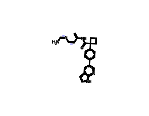 C=C(/C=C\N=C/N)NC(=O)C1(c2ccc(-c3cnc4[nH]ccc4c3)cc2)CCC1